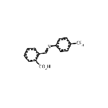 O=C(O)c1ccccc1C=Nc1ccc(C(F)(F)F)cc1